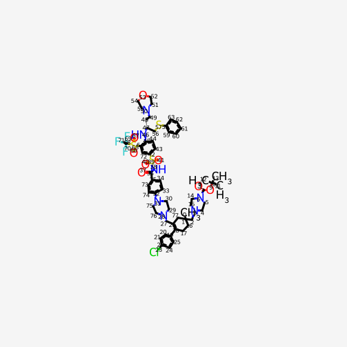 CC1(CN2CCN(C(=O)OC(C)(C)C)CC2)CCC(c2ccc(Cl)cc2)=C(CN2CCN(c3ccc(C(=O)NS(=O)(=O)c4ccc(N[C@H](CCN5CCOCC5)CSc5ccccc5)c(S(=O)(=O)C(F)(F)F)c4)cc3)CC2)C1